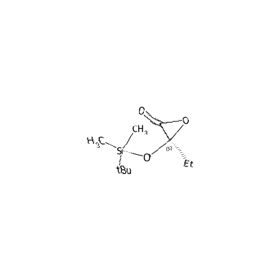 CC[C@@]1(O[Si](C)(C)C(C)(C)C)OC1=O